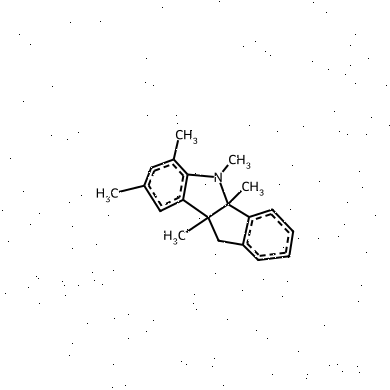 Cc1cc(C)c2c(c1)C1(C)Cc3ccccc3C1(C)N2C